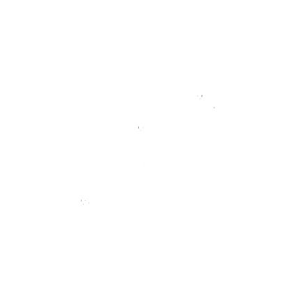 COC1=CC(O)(OC)C=C(O)C1C(=O)/C=C/c1cccc(OC)c1